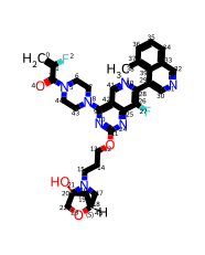 C=C(F)C(=O)N1CCN(c2nc(OCCCN3C[C@@H]4C[C@@]3(O)CO4)nc3c(F)c(-c4cncc5cccc(C)c45)ncc23)CC1